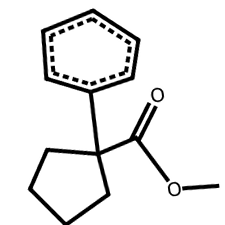 COC(=O)C1(c2ccccc2)CCCC1